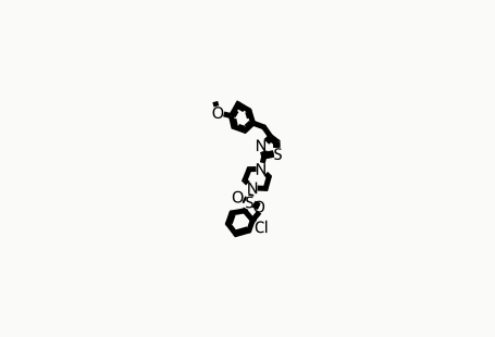 COc1ccc(Cc2csc(N3CCN(S(=O)(=O)C4C=CC=CC4(C)Cl)CC3)n2)cc1